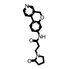 O=C(CCN1CCCC1=O)Nc1ccc2c(c1)OCc1cnccc1-2